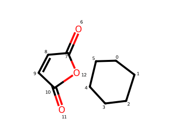 C1CCCCC1.O=C1C=CC(=O)O1